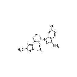 COc1c(-c2nnn(C)n2)cccc1-n1nc(N)c2cnc(Cl)cc21